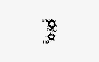 O=S(=O)(c1cccc(Br)c1)N1CC[C@H](O)C1